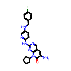 Nc1cc2cnc(Nc3ccc(NCc4ccc(F)cc4)cn3)nc2n(C2CCCC2)c1=O